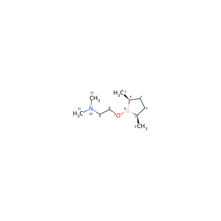 C[C@@H]1CC[C@H](C)B1OCCN(C)C